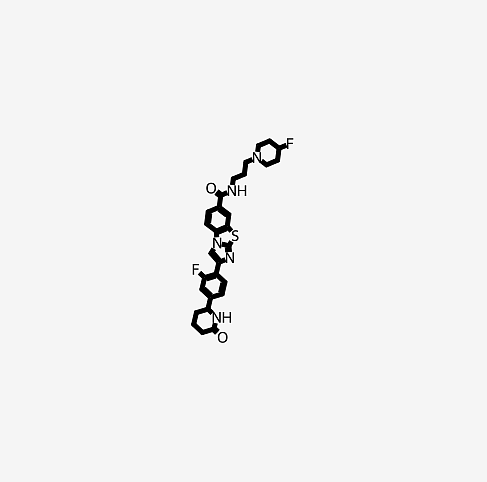 O=C1CCCC(c2ccc(-c3cn4c(n3)sc3cc(C(=O)NCCCN5CCC(F)CC5)ccc34)c(F)c2)N1